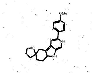 COc1ccc(C2=NC3=C4CC5(CCCO5)CCC4NC3=CN2)cc1